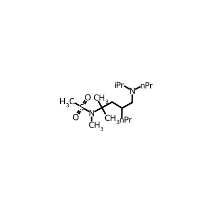 CCCC(CN(CCC)C(C)C)CC(C)(C)N(C)S(C)(=O)=O